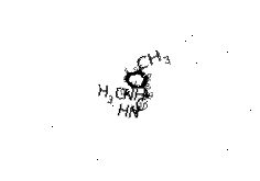 CN[C@@H]1CC[C@H](C)C[C@H]1C=C=N